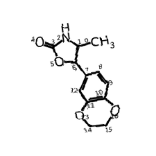 CC1NC(=O)OC1c1ccc2c(c1)OCCO2